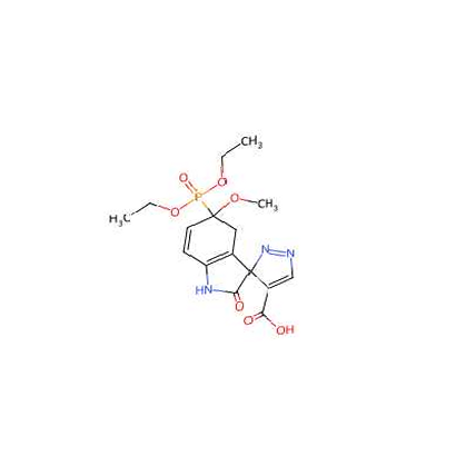 CCOP(=O)(OCC)C1(OC)C=CC2=C(C1)C1(N=NC=C1C(=O)O)C(=O)N2